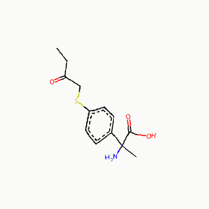 CCC(=O)CSc1ccc(C(C)(N)C(=O)O)cc1